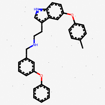 Cc1ccc(Oc2ccc3[nH]cc(CCNCc4cccc(Oc5ccccc5)c4)c3c2)cc1